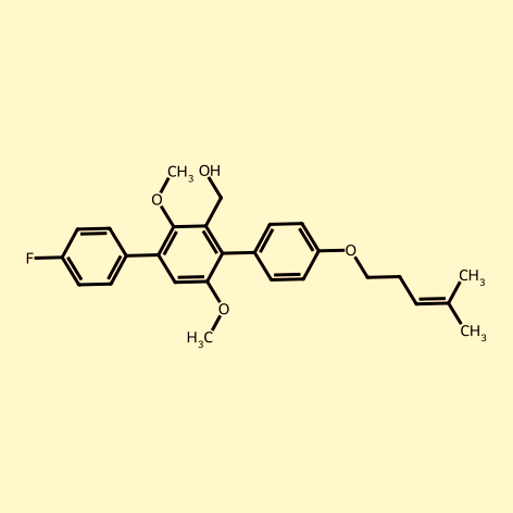 COc1cc(-c2ccc(F)cc2)c(OC)c(CO)c1-c1ccc(OCCC=C(C)C)cc1